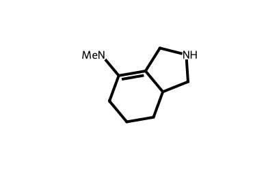 CNC1=C2CNCC2CCC1